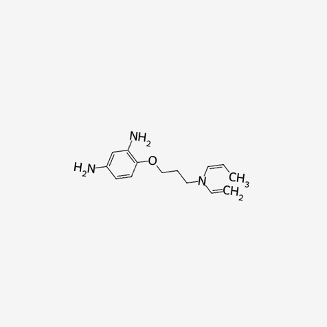 C=CN(/C=C\C)CCCOc1ccc(N)cc1N